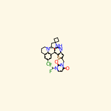 O=c1ccn(C(F)F)c(=O)n1Cc1cc2nccc(-c3cc(Cl)cc4c3N([C@@H]3CNC5(CCC5)C3)CCC4)c2s1